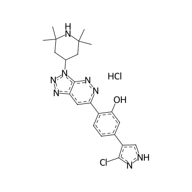 CC1(C)CC(n2nnc3cc(-c4ccc(-c5c[nH]nc5Cl)cc4O)nnc32)CC(C)(C)N1.Cl